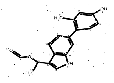 Cc1cc(O)ccc1-c1ccc2c(C(C)OC=O)c[nH]c2c1